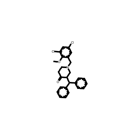 COc1c(Cl)cc(Cl)cc1CN1CCC(=O)C(C(c2ccccc2)c2ccccc2)C1